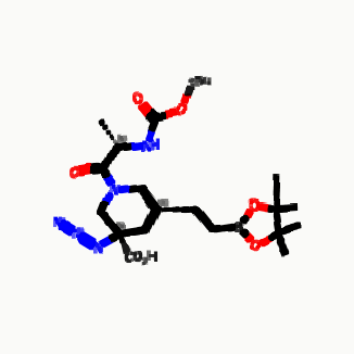 C[C@H](NC(=O)OC(C)(C)C)C(=O)N1C[C@@H](CCB2OC(C)(C)C(C)(C)O2)C[C@@](N=[N+]=[N-])(C(=O)O)C1